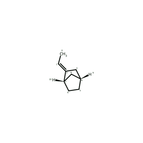 CC=C1C[C@@H]2CC[C@H]1C2